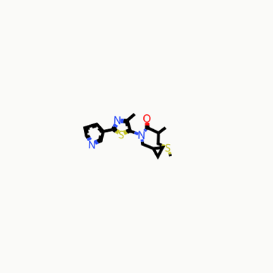 CSCC(C)C(=O)N(CC1CC1)c1sc(-c2cccnc2)nc1C